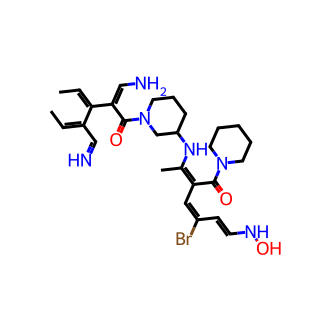 C\C=C(C=N)/C(=C\C)C(=C/N)/C(=O)N1CCCC(N/C(C)=C(/C=C(Br)\C=C\NO)C(=O)N2CCCCC2)C1